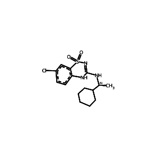 C[C@H](NC1=NS(=O)(=O)c2cc(Cl)ccc2N1)C1CCCCC1